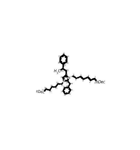 CCCCCCCCCCCCCCCCC[n+]1c(CC(C)c2ccccc2)cn(CCCCCCCCCCCCCCCC)c1Cc1ccccc1